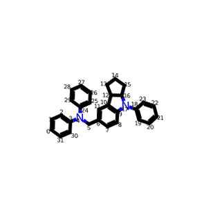 c1ccc(N(Cc2ccc3c(c2)C2CCCC2N3c2ccccc2)c2ccccc2)cc1